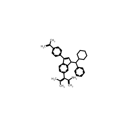 C=C(N)C(=C(C)C)c1ccc2c(c1)C(C(c1ccccc1)C1CCCCC1)C=C2c1ccc(C(=C)C)cc1